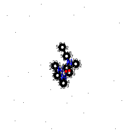 c1ccc(-c2ccc(-n3c4ccccc4c4ccc(-n5c6ccccc6c6ccc7c8ccccc8n(-c8ccccc8)c7c65)cc43)cc2)cc1